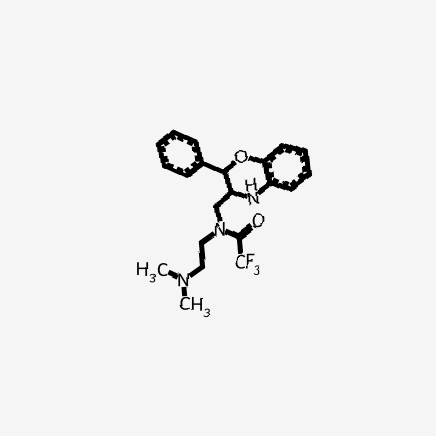 CN(C)CCN(CC1Nc2ccccc2OC1c1ccccc1)C(=O)C(F)(F)F